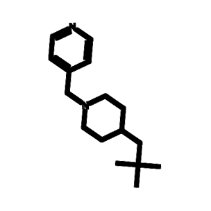 CC(C)(C)CC1CCN(Cc2ccncc2)CC1